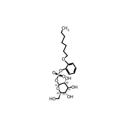 CCCCCCCOc1ccccc1OS(=O)(=O)O[C@@H]1O[C@H](CO)[C@@H](O)[C@H](O)[C@H]1O